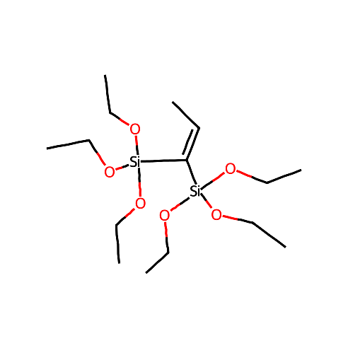 CC=C([Si](OCC)(OCC)OCC)[Si](OCC)(OCC)OCC